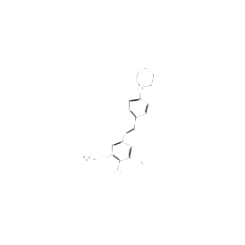 COc1cc(C=Cc2ccc(N3CCCCC3)cc2)cc(C=O)c1O